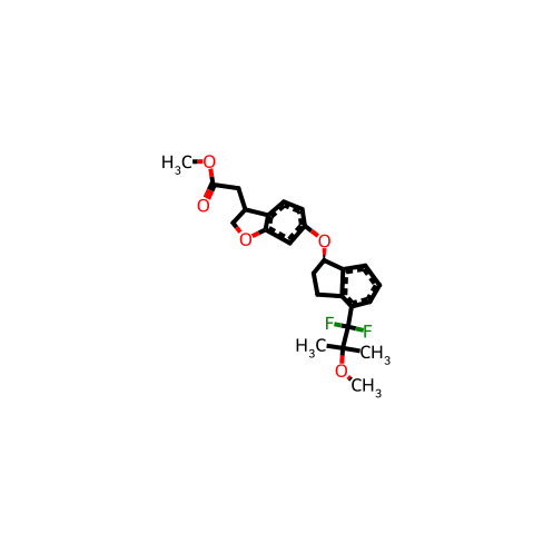 COC(=O)CC1COc2cc(O[C@@H]3CCc4c3cccc4C(F)(F)C(C)(C)OC)ccc21